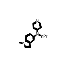 CCCN(c1ccncc1)c1ccc2c(ccn2C)c1